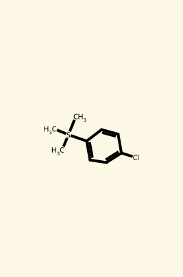 CS(C)(C)c1ccc(Cl)cc1